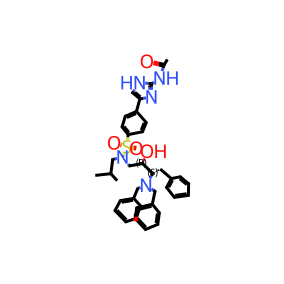 CC(=O)Nc1nc(-c2ccc(S(=O)(=O)N(CC(C)C)C[C@@H](O)[C@H](Cc3ccccc3)N(Cc3ccccc3)Cc3ccccc3)cc2)c[nH]1